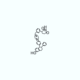 O=C1CCC(c2cccc(CN3CCN(c4ccc(C5c6ccc(O)cc6CCC5c5ccccc5)cc4)CC3)c2)C(=O)N1